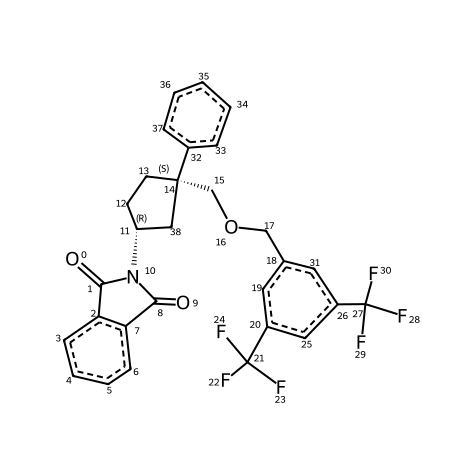 O=C1c2ccccc2C(=O)N1[C@@H]1CC[C@@](COCc2cc(C(F)(F)F)cc(C(F)(F)F)c2)(c2ccccc2)C1